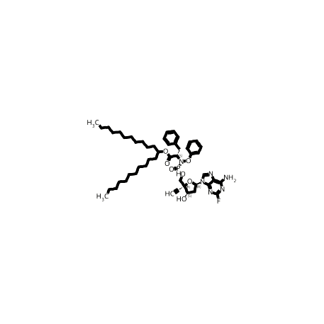 C#C[C@]1(CO[PH](=O)N(Oc2ccccc2)[C@@H](Cc2ccccc2)C(=O)OC(CCCCCCCCCCC)CCCCCCCCCCC)O[C@@H](n2cnc3c(N)nc(F)nc32)C[C@@H]1O